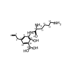 C=CCc1cc(NC(=O)[C@@H](N)CCCCN)c(O)c(B(O)O)c1